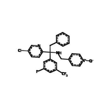 [O-][n+]1ccc(CNC(Cc2ccccc2)(c2cc(F)cc(C(F)(F)F)c2)c2ccc(Cl)cn2)cc1